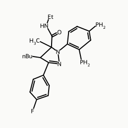 CCCCC1C(c2ccc(F)cc2)=NN(c2ccc(P)cc2P)C1(C)C(=O)NCC